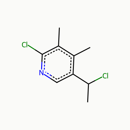 Cc1c(C(C)Cl)cnc(Cl)c1C